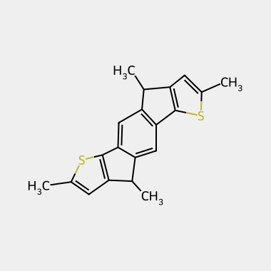 Cc1cc2c(s1)-c1cc3c(cc1C2C)-c1sc(C)cc1C3C